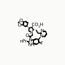 CCCC(CCC)N(C(=O)CN1C[C@H](c2ccc3c(c2)OCO3)[C@@H](C(=O)O)[C@@H]1CCc1ncccn1)c1ccc(F)c(C)c1